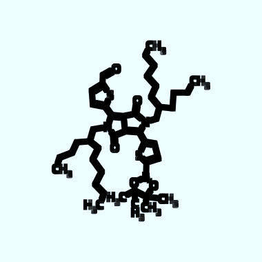 CCCCCCC(CCCC)CN1C(=O)C2=C(c3ccc(B4OC(C)(C)C(C)(C)O4)s3)N(CC(CCCC)CCCCCC)C(=O)C2=C1c1ccc(C=O)s1